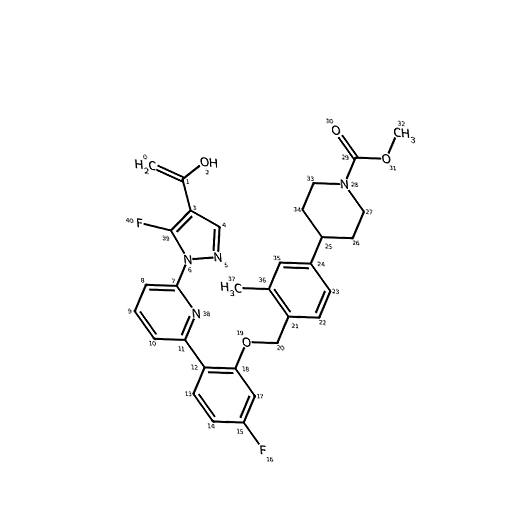 C=C(O)c1cnn(-c2cccc(-c3ccc(F)cc3OCc3ccc(C4CCN(C(=O)OC)CC4)cc3C)n2)c1F